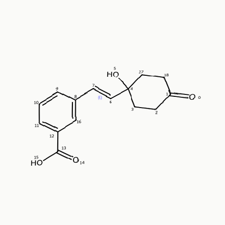 O=C1CCC(O)(/C=C/c2cccc(C(=O)O)c2)CC1